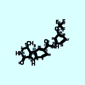 CC1CNC(=O)c2[nH]c3ccc(C(=O)Nc4cccc(OC(F)(F)F)c4)cc3c21